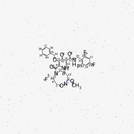 CO/C1=N/OCC[C@H](CF)N2C[C@H](C1)n1cc(C(=O)NCc3c(F)cc(F)cc3F)c(=O)c(OCc3ccccc3)c1C2=O